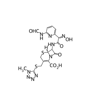 Cn1nnnc1SCC1=C(C(=O)O)N2C(=O)C(NC(=O)/C(=N\O)c3cccc(NC=O)n3)[C@H]2SC1